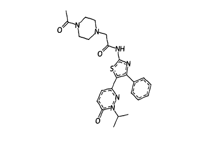 CC(=O)N1CCN(CC(=O)Nc2nc(-c3ccccc3)c(-c3ccc(=O)n(C(C)C)n3)s2)CC1